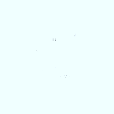 CCCC1NC(=O)C(C(=O)OC)=C1O